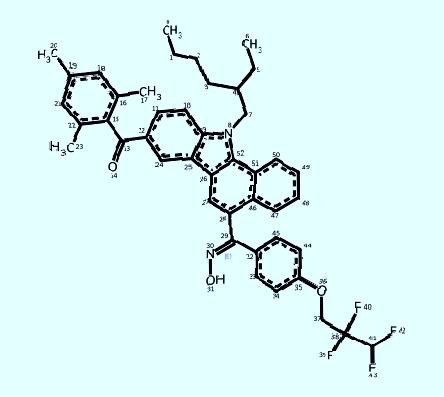 CCCCC(CC)Cn1c2ccc(C(=O)c3c(C)cc(C)cc3C)cc2c2cc(/C(=N/O)c3ccc(OCC(F)(F)C(F)F)cc3)c3ccccc3c21